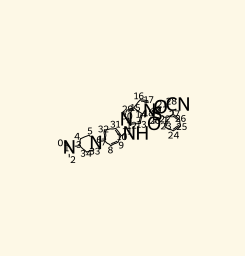 CN(C)C1CCN(c2ccc(Nc3cc4c(ccn4S(=O)(=O)c4ccccc4C#N)cn3)cc2)CC1